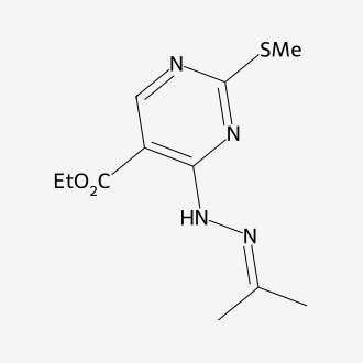 CCOC(=O)c1cnc(SC)nc1NN=C(C)C